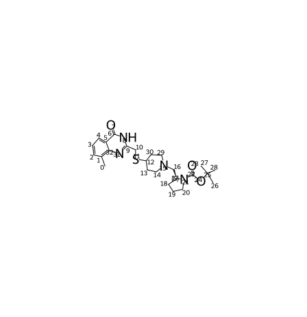 Cc1cccc2c(=O)[nH]c(CSC3CCN(C[C@@H]4CCCN4C(=O)OC(C)(C)C)CC3)nc12